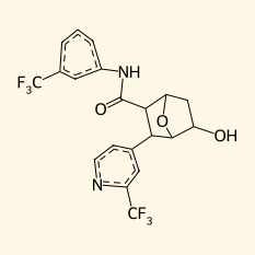 O=C(Nc1cccc(C(F)(F)F)c1)C1C2CC(O)C(O2)C1c1ccnc(C(F)(F)F)c1